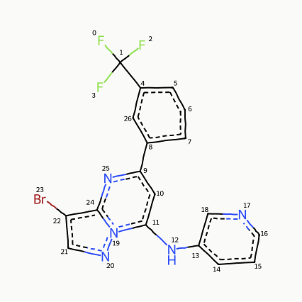 FC(F)(F)c1cccc(-c2cc(Nc3cccnc3)n3ncc(Br)c3n2)c1